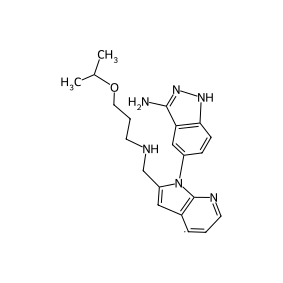 CC(C)OCCCNCc1cc2[c]ccnc2n1-c1ccc2[nH]nc(N)c2c1